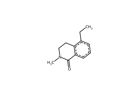 CCc1cccc2c1CCN(C)C2=O